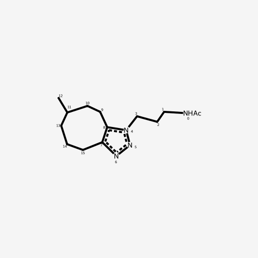 CC(=O)NCCCn1nnc2c1CCC(C)CCC2